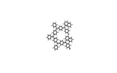 Fc1ccc(N(c2ccc(N(c3ccccc3)c3ccc(N(c4ccccc4)c4ccc(N(c5ccccc5)c5ccc(N(c6ccc(F)cc6)c6cccc7ccccc67)cc5)cc4)cc3)cc2)c2cccc3ccccc23)cc1